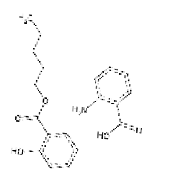 CCCCCOC(=O)c1ccccc1O.Nc1ccccc1C(=O)O